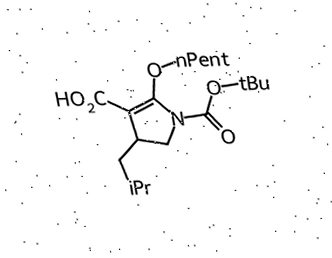 CCCCCOC1=C(C(=O)O)C(CC(C)C)CN1C(=O)OC(C)(C)C